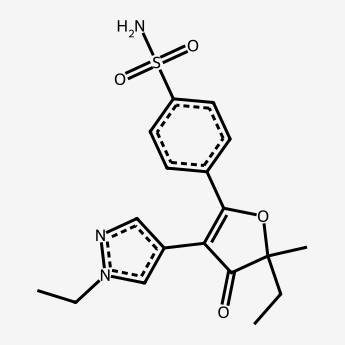 CCn1cc(C2=C(c3ccc(S(N)(=O)=O)cc3)OC(C)(CC)C2=O)cn1